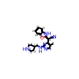 Cc1cnc(NCC2CCNCC2)nc1/C(C#N)=C1/Nc2ccccc2O1